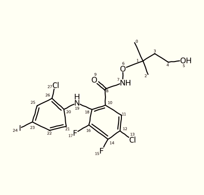 CC(C)(CCO)ONC(=O)c1cc(Cl)c(F)c(F)c1Nc1ccc(I)cc1Cl